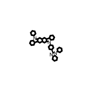 c1ccc(-n2c(-c3ccc(-n4c5ccccc5c5cc6cc7c(cc6cc54)c4ccccc4n7-c4ccccc4)cc3)nc3ccccc32)cc1